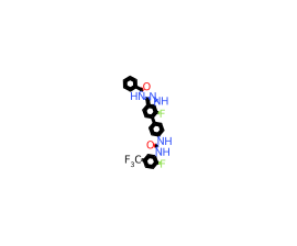 O=C(Nc1ccc(-c2ccc3c(NC(=O)c4ccccc4)n[nH]c3c2F)cc1)Nc1cc(C(F)(F)F)ccc1F